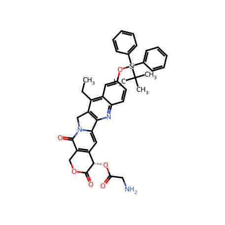 CCc1c2c(nc3ccc(O[Si](c4ccccc4)(c4ccccc4)C(C)(C)C)cc13)-c1cc3c(c(=O)n1C2)COC(=O)[C@H]3OC(=O)CN